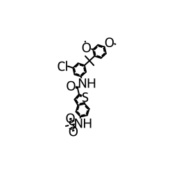 COc1ccc(C(C)(C)c2cc(Cl)cc(NC(=O)c3cc4cc(NS(C)(=O)=O)ccc4s3)c2)c(OC)c1